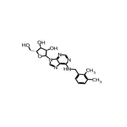 Cc1cccc(CNc2ncnc3c2ncn3C2O[C@H](CO)[C@@H](O)[C@H]2O)c1C